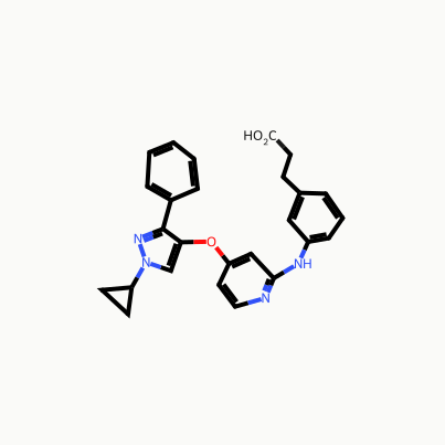 O=C(O)CCc1cccc(Nc2cc(Oc3cn(C4CC4)nc3-c3ccccc3)ccn2)c1